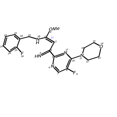 CO/C(=C/C(=N)c1ncc(F)c(N2CCOCC2)n1)NCc1ccccc1F